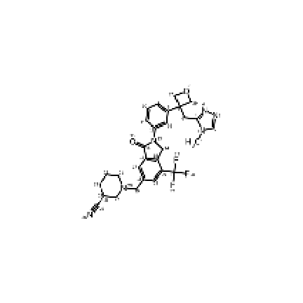 Cn1cnnc1CC1(c2cccc(N3Cc4c(cc(CN5CCC[C@H](C#N)C5)cc4C(F)(F)F)C3=O)c2)COC1